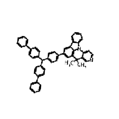 CC1(C)c2cnccc2-n2c3ccccc3c3cc(-c4ccc(C(c5ccc(-c6ccccc6)cc5)c5ccc(-c6ccccc6)cc5)cc4)cc1c32